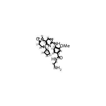 COc1cc(C(=O)NCCN)ccc1Nc1ncc2c(n1)N(C1CCCC1)CCC(=O)N2C